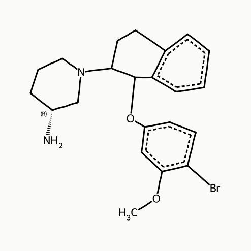 COc1cc(OC2c3ccccc3CCC2N2CCC[C@@H](N)C2)ccc1Br